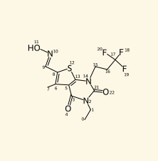 CCn1c(=O)c2c(C)c(C=NO)sc2n(CCC(F)(F)F)c1=O